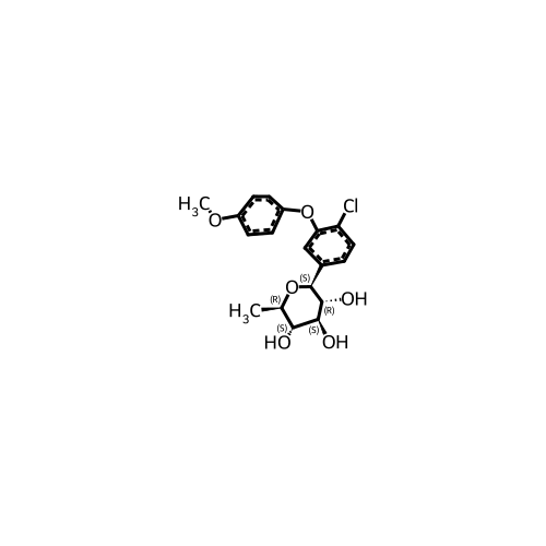 COc1ccc(Oc2cc([C@@H]3O[C@H](C)[C@@H](O)[C@H](O)[C@H]3O)ccc2Cl)cc1